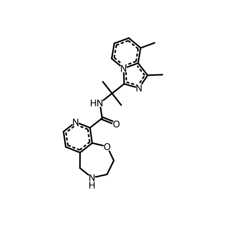 Cc1cccn2c(C(C)(C)NC(=O)c3nccc4c3OCCNC4)nc(C)c12